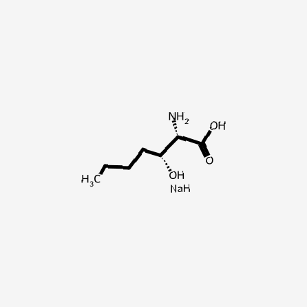 CCCC[C@@H](O)[C@H](N)C(=O)O.[NaH]